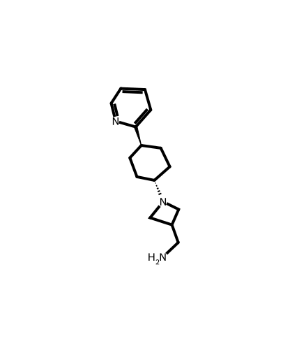 NCC1CN([C@H]2CC[C@H](c3ccccn3)CC2)C1